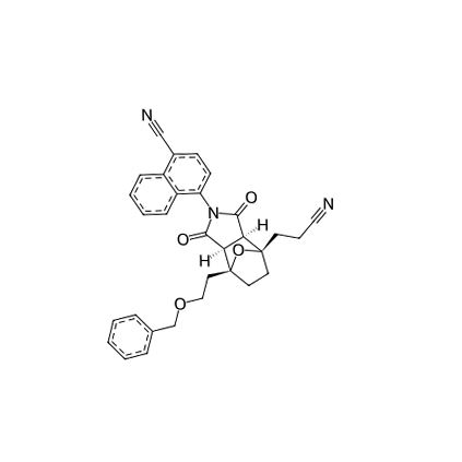 N#CCC[C@@]12CC[C@@](CCOCc3ccccc3)(O1)[C@H]1C(=O)N(c3ccc(C#N)c4ccccc34)C(=O)[C@H]12